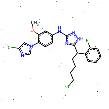 COc1cc(Nc2n[nH]c(C(CCCCCl)c3ccccc3F)n2)ccc1-n1cnc(Cl)c1